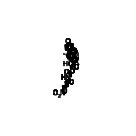 C[C@H]1C[C@@]2(C)[C@@H](C[C@H](C)[C@]2(O)C(=O)COC(=O)CNC(=O)CCCO[N+](=O)[O-])[C@@H]2CCC3=CC(=O)C=C[C@]3(C)[C@@]12F